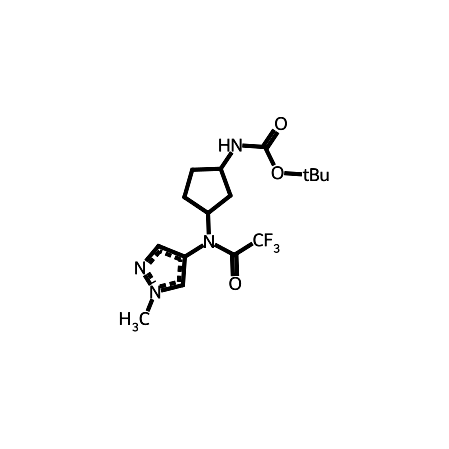 Cn1cc(N(C(=O)C(F)(F)F)C2CCC(NC(=O)OC(C)(C)C)C2)cn1